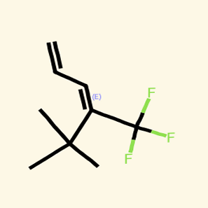 C=C/C=C(\C(C)(C)C)C(F)(F)F